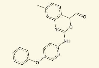 Cc1ccc2c(c1)N=C(Nc1ccc(Oc3ccccc3)cc1)OC2C=O